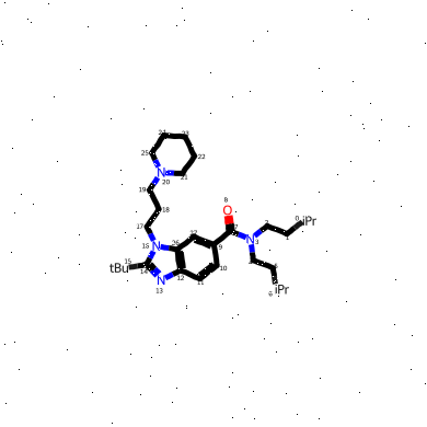 CC(C)CCN(CCC(C)C)C(=O)c1ccc2nc(C(C)(C)C)n(CCCN3CCCCC3)c2c1